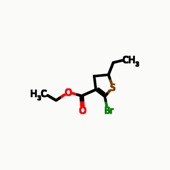 CCOC(=O)C1=C(Br)SC(CC)C1